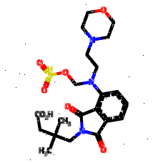 CC(C)(CC(=O)O)CN1C(=O)c2cccc(N(CCN3CCOCC3)CO[SH](=O)=O)c2C1=O